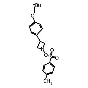 Cc1ccc(S(=O)(=O)ON2CC(c3ccc(OCC(C)(C)C)cc3)C2)cc1